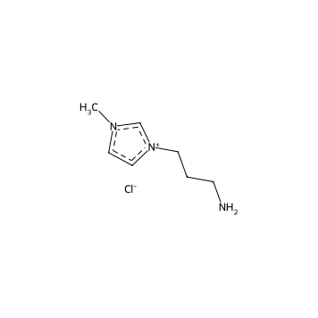 Cn1cc[n+](CCCN)c1.[Cl-]